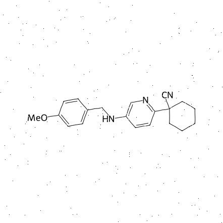 COc1ccc(CNc2ccc(C3(C#N)CCCCC3)nc2)cc1